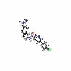 CC(C)CN(C)Cc1ccc2c(c1)CCC(N(C)C(=O)c1ccc(-c3ccc(Cl)cc3)cn1)C2